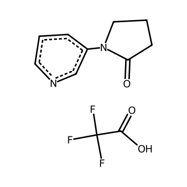 O=C(O)C(F)(F)F.O=C1CCCN1c1cccnc1